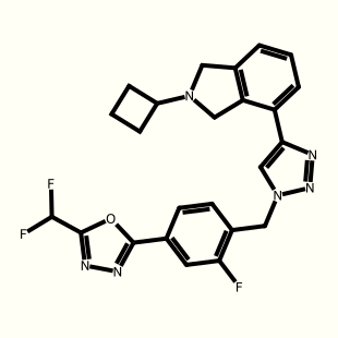 Fc1cc(-c2nnc(C(F)F)o2)ccc1Cn1cc(-c2cccc3c2CN(C2CCC2)C3)nn1